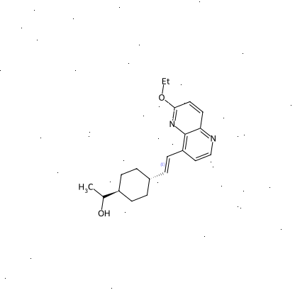 CCOc1ccc2nccc(/C=C/[C@H]3CC[C@H](C(C)O)CC3)c2n1